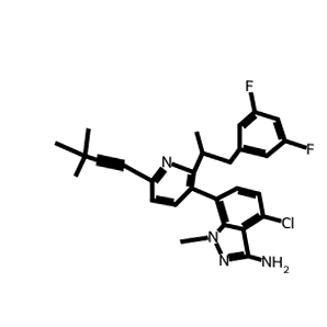 CC(Cc1cc(F)cc(F)c1)c1nc(C#CC(C)(C)C)ccc1-c1ccc(Cl)c2c(N)nn(C)c12